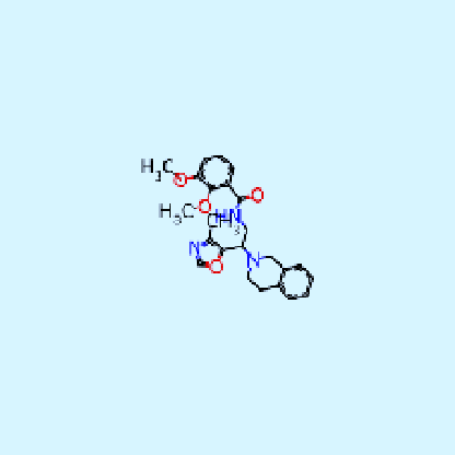 COc1cccc(C(=O)NCC(c2ocnc2C)N2CCc3ccccc3C2)c1OC